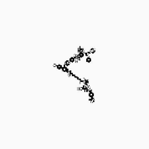 Cc1ncsc1-c1ccc([C@H](C)NC(=O)[C@@H]2C[C@@H](O)CN2C(=O)[C@@H](NC(=O)CCCCCCCCC(=O)NCC2(C)CCC(c3ccc(Cl)cc3)=C(CN3CCN(c4ccc(C(=O)NS(=O)(=O)c5ccc(N[C@H](CCN6CCOCC6)CSc6ccccc6)c(S(=O)(=O)C(F)(F)F)c5)cc4)CC3)C2)C(C)(C)C)cc1